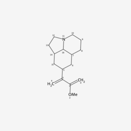 C=C(OC)C(=C)C1CC2CCCN3CCC(C1)C23